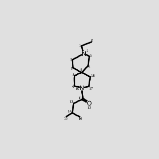 CCN1CCC2(CC1)CCN(C(=O)CC(C)C)CC2